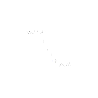 CCCC(C)/C=C/CCCCCCCC(=O)OC